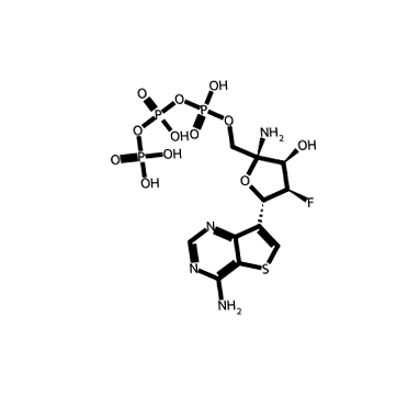 Nc1ncnc2c([C@@H]3O[C@](N)(COP(=O)(O)OP(=O)(O)OP(=O)(O)O)[C@@H](O)[C@H]3F)csc12